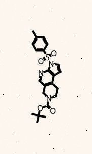 Cc1ccc(S(=O)(=O)n2ccc3c4c(cnc32)CN(C(=O)OC(C)(C)C)CC4)cc1